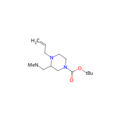 C=CCN1CCN(C(=O)OC(C)(C)C)CC1CNC